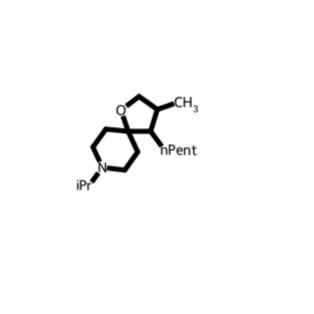 CCCCCC1C(C)COC12CCN(C(C)C)CC2